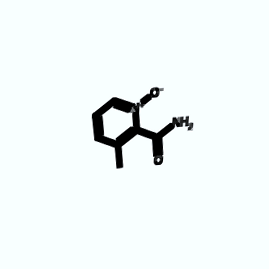 Cc1ccc[n+]([O-])c1C(N)=O